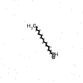 CCCCCCCCCCCCCCC[PH]=O